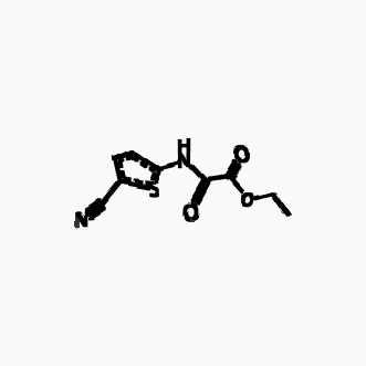 CCOC(=O)C(=O)Nc1ccc(C#N)s1